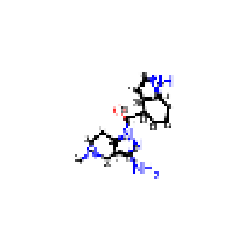 CN1CCc2c(c(N)nn2C(=O)C2CCCc3[nH]ccc32)C1